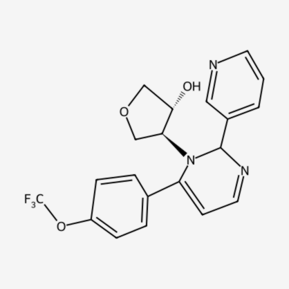 O[C@H]1COC[C@@H]1N1C(c2ccc(OC(F)(F)F)cc2)=CC=NC1c1cccnc1